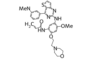 C=CC(=O)Nc1cc(Nc2nc(-c3cccc(NC)c3)c3sccc3n2)c(OC)cc1OCCN1CCOCC1